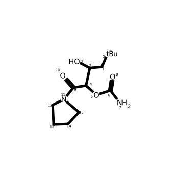 CC(C)(C)CC(O)C(OC(N)=O)C(=O)N1CCCC1